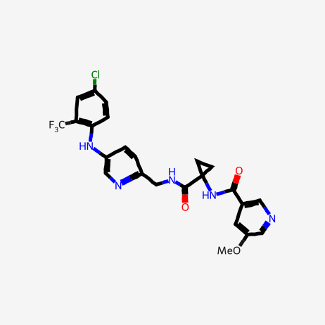 COc1cncc(C(=O)NC2(C(=O)NCc3ccc(Nc4ccc(Cl)cc4C(F)(F)F)cn3)CC2)c1